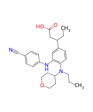 CCCN(c1ccc(C(CC)CC(=O)O)cc1Nc1ccc(C#N)cc1)C1CCOCC1